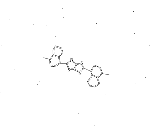 Cc1ccc(-c2nc3sc(-c4ccc(C)c5ccccc45)nc3s2)c2ccccc12